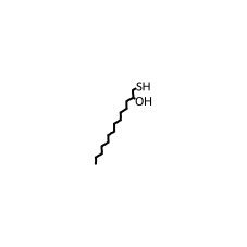 CCCCCCCCCCCCC(O)CS